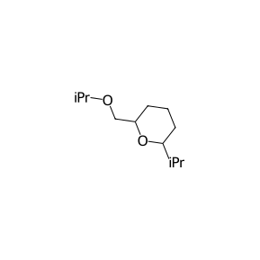 CC(C)OCC1CCCC(C(C)C)O1